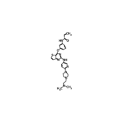 C=CC(=O)Nc1cccc(Oc2nc(Nc3ccc(N4CCN(CCN(C)C)CC4)nc3)nc3ccsc23)c1